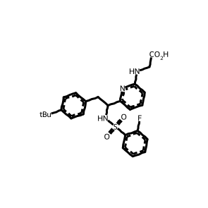 CC(C)(C)c1ccc(CC(NS(=O)(=O)c2ccccc2F)c2cccc(NCC(=O)O)n2)cc1